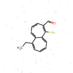 CCC1=CC=CC=C2C1=CC=CC(C=O)=C2S